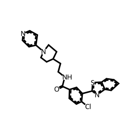 O=C(NCCC1CCN(c2ccncc2)CC1)c1ccc(Cl)c(-c2nc3ccccc3s2)c1